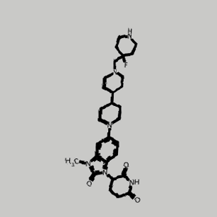 Cn1c(=O)n(C2CCC(=O)NC2=O)c2ccc(N3CCC(C4CCN(CC5(F)CCNCC5)CC4)CC3)cc21